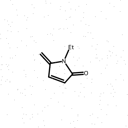 C=C1C=CC(=O)N1CC